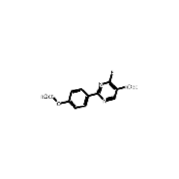 CCCCCCCCCCc1cnc(-c2ccc(OCCCCCCCC)cc2)nc1F